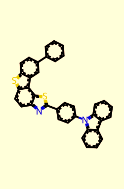 c1ccc(-c2ccc3sc4ccc5nc(-c6ccc(-n7c8ccccc8c8ccccc87)cc6)sc5c4c3c2)cc1